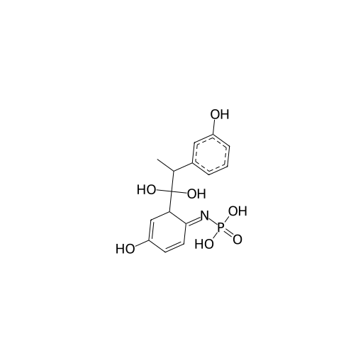 CC(c1cccc(O)c1)C(O)(O)C1C=C(O)C=C/C1=N\P(=O)(O)O